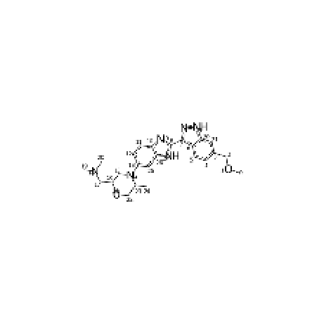 COCc1ccc2c(-c3nc4ccc(N5CC(CN(C)C)OCC5C)cc4[nH]3)n[nH]c2c1